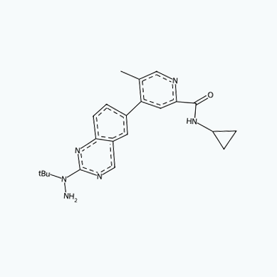 Cc1cnc(C(=O)NC2CC2)cc1-c1ccc2nc(N(N)C(C)(C)C)ncc2c1